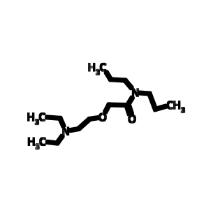 CCCN(CCC)C(=O)COCCN(CC)CC